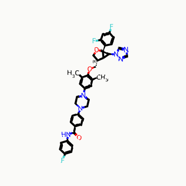 Cc1cc(N2CCN(c3ccc(C(=O)Nc4ccc(F)cc4)cc3)CC2)cc(C)c1OC[C@@H]1CO[C@@]2(c3ccc(F)cc3F)C1C2n1cncn1